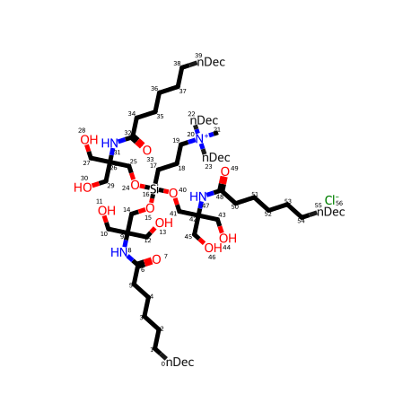 CCCCCCCCCCCCCCCC(=O)NC(CO)(CO)CO[Si](CCC[N+](C)(CCCCCCCCCC)CCCCCCCCCC)(OCC(CO)(CO)NC(=O)CCCCCCCCCCCCCCC)OCC(CO)(CO)NC(=O)CCCCCCCCCCCCCCC.[Cl-]